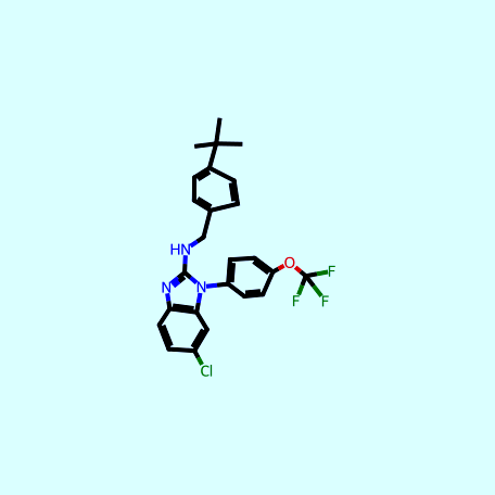 CC(C)(C)c1ccc(CNc2nc3ccc(Cl)cc3n2-c2ccc(OC(F)(F)F)cc2)cc1